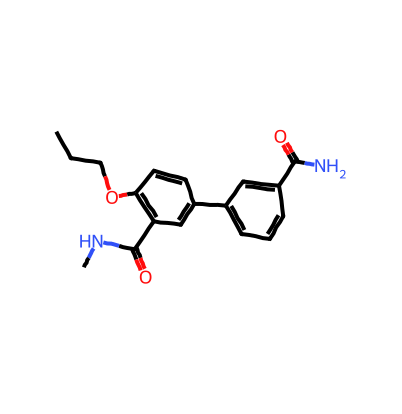 CCCOc1ccc(-c2cccc(C(N)=O)c2)cc1C(=O)NC